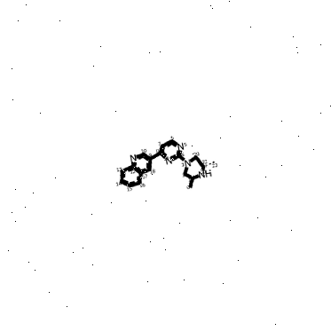 CC1CN(c2nccc(-c3cnc4ccccc4c3)n2)C[C@H](C)N1